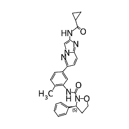 Cc1ccc(-c2ccc3nc(NC(=O)C4CC4)cn3n2)cc1NC(=O)N1OCC[C@H]1c1ccccc1